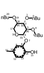 CCCCO[C@@H]1[C@@H](OCCCC)[C@H](Oc2cc(C)ccc2O)OC[C@H]1OCCCC